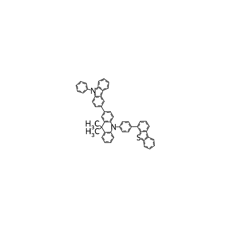 CC1(C)c2ccccc2N(c2ccc(-c3cccc4c3sc3ccccc34)cc2)c2ccc(-c3ccc4c(c3)c3ccccc3n4-c3ccccc3)cc21